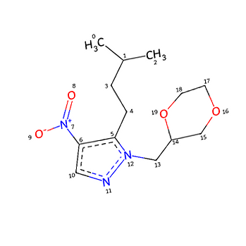 CC(C)CCc1c([N+](=O)[O-])cnn1CC1COCCO1